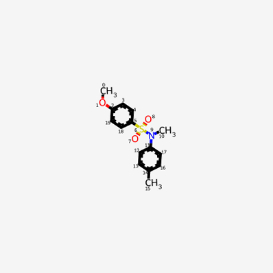 COc1ccc(S(=O)(=O)N(C)c2ccc(C)cc2)cc1